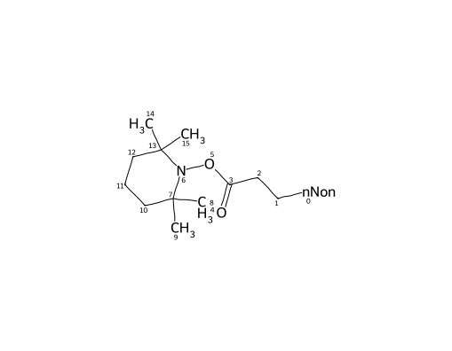 CCCCCCCCCCCC(=O)ON1C(C)(C)CCCC1(C)C